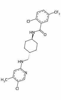 Cc1cc(NC[C@H]2CC[C@H](NC(=O)c3cc(C(F)(F)F)ccc3Cl)CC2)ncc1Cl